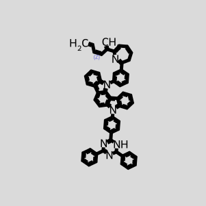 C=C/C=C\C(=C)C1=CC=CCC(c2cccc(-n3c4ccccc4c4ccc5c(c6ccccc6n5-c5ccc(C6=NC(c7ccccc7)=NC(c7ccccc7)N6)cc5)c43)c2)=N1